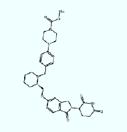 CC(C)(C)OC(=O)N1CCN(c2ccc(CN3CCCC[C@@H]3COc3ccc4c(c3)CN(C3CCC(=O)NC3=O)C4=O)cc2)CC1